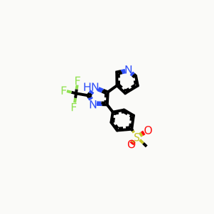 CS(=O)(=O)c1ccc(-c2nc(C(F)(F)F)[nH]c2-c2cccnc2)cc1